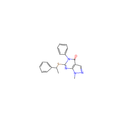 CC(Sc1nc2c(cnn2C)c(=O)n1-c1ccccc1)c1ccccc1